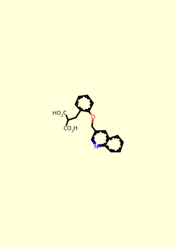 O=C(O)C(Cc1ccccc1OCc1cnc2ccccc2c1)C(=O)O